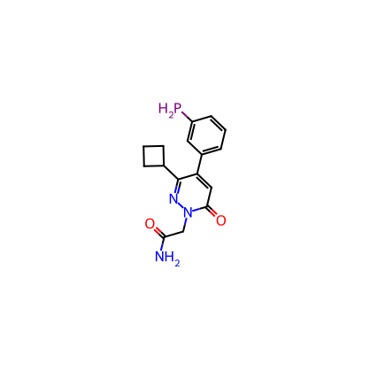 NC(=O)Cn1nc(C2CCC2)c(-c2cccc(P)c2)cc1=O